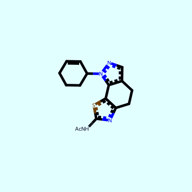 CC(=O)Nc1nc2c(s1)-c1c(cnn1C1C=CCCC1)CC2